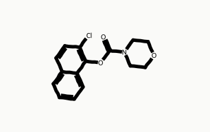 O=C(Oc1c(Cl)ccc2ccccc12)N1CCOCC1